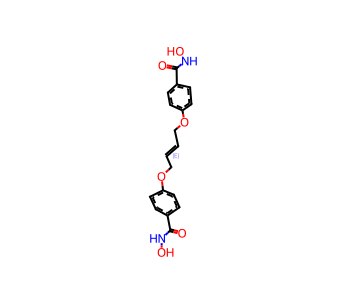 O=C(NO)c1ccc(OC/C=C/COc2ccc(C(=O)NO)cc2)cc1